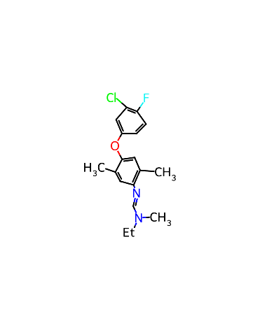 CCN(C)C=Nc1cc(C)c(Oc2ccc(F)c(Cl)c2)cc1C